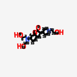 O=c1oc2cc(N(CCO)CCO)ccc2cc1-c1cc[n+](CCO)cc1